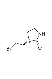 O=C1NCC[C@@H]1CCBr